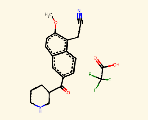 COc1ccc2cc(C(=O)C3CCCNC3)ccc2c1CC#N.O=C(O)C(F)(F)F